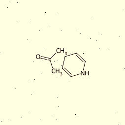 C1=CNC=CC1.CC(C)=O